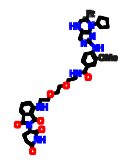 CC[C@@H]1CNc2cnc(Nc3ccc(C(=O)NCCOCCOCCNc4cccc5c4C(=O)N(C4CCC(=O)NC4=O)C5=O)cc3OC)nc2N1C1CCCC1